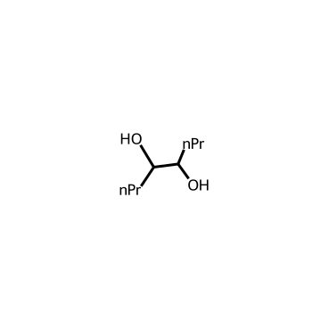 [CH2]CCC(O)C(O)CCC